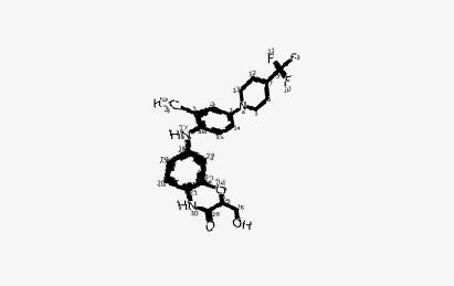 Cc1cc(N2CCC(C(F)(F)F)CC2)ccc1Nc1ccc2c(c1)OC(CO)C(=O)N2